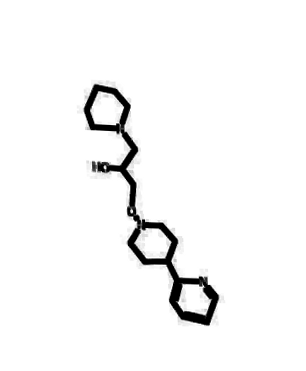 OC(CON1CCC(c2ccccn2)CC1)CN1CCCCC1